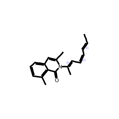 C/C=C/C=C\C=C(/C)n1c(C)cc2cccc(C)c2c1=O